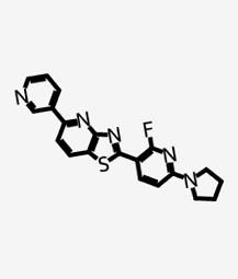 Fc1nc(N2CCCC2)ccc1-c1nc2nc(-c3cccnc3)ccc2s1